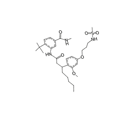 CCCCCC(CC(=O)Nc1cc(C(=O)NC)ccc1C(C)(C)C)c1ccc(OCCCNS(C)(=O)=O)cc1OC